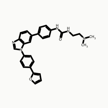 CN(C)CCNC(=O)Nc1ccc(-c2ccc3ncn(-c4ccc(-c5ccco5)cc4)c3c2)cc1